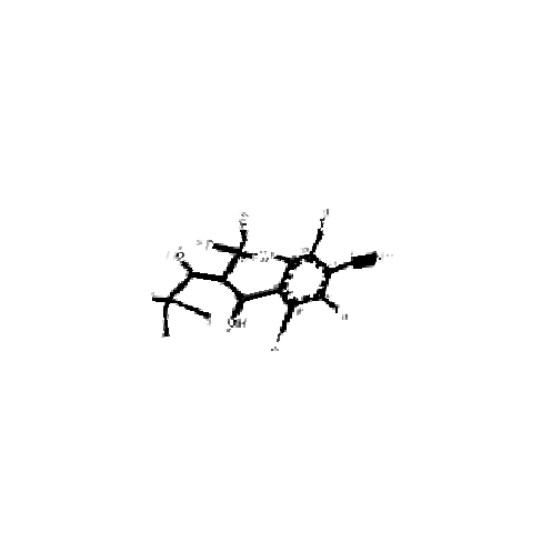 CC(C)(C)C(O)C(C(O)c1c(F)c(F)c(C#N)c(F)c1F)C(F)(F)F